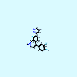 CN1CC=C(c2ccc(F)c(F)c2)c2ccc(-c3cccnn3)c(F)c2C1